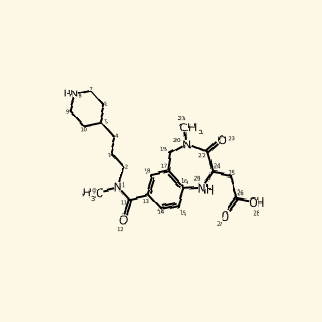 CN(CCCC1CCNCC1)C(=O)c1ccc2c(c1)CN(C)C(=O)C(CC(=O)O)N2